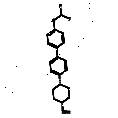 CCCCCCCCCC[C@H]1CC[C@H](c2ccc(-c3ccc(OC(F)F)cc3)cc2)CC1